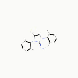 CC(=O)N=c1n(-c2c(C)cccc2C)cc(CS)n1-c1c(C)cccc1C